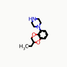 CCC1COc2c(cccc2N2CCNCC2)O1